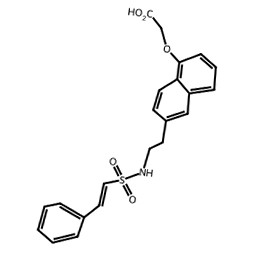 O=C(O)COc1cccc2cc(CCNS(=O)(=O)/C=C/c3ccccc3)ccc12